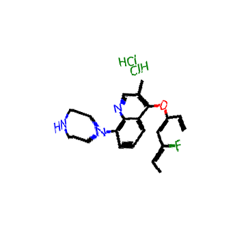 C=CC(=CC(F)=CC)Oc1c(C)cnc2c(N3CCNCC3)cccc12.Cl.Cl